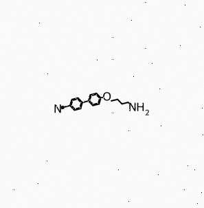 N#Cc1ccc(-c2ccc(OCCCCN)cc2)cc1